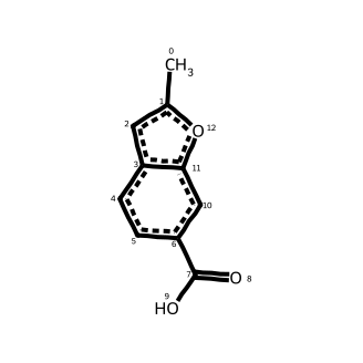 Cc1cc2ccc(C(=O)O)cc2o1